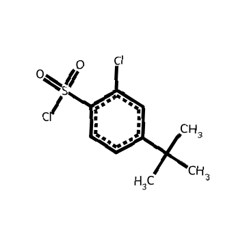 CC(C)(C)c1ccc(S(=O)(=O)Cl)c(Cl)c1